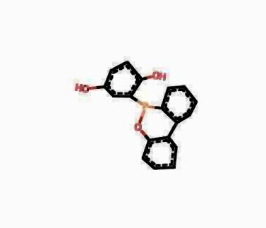 Oc1ccc(O)c(P2Oc3ccccc3-c3ccccc32)c1